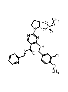 COc1ccc(CNc2nc(N3CCC[C@@H]3OP(=O)(O)OC)ncc2C(=O)N=Cc2ncccn2)cc1Cl